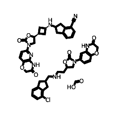 N#Cc1cccc2c1CC(N[C@H]1C[C@H](C3CN(c4ccc5c(n4)NC(=O)CO5)C(=O)O3)C1)C2.O=C1COc2ccc(N3CC(CCNCC4Cc5cccc(Cl)c5C4)OC3=O)cc2N1.O=CO